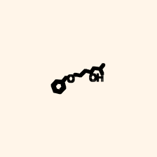 CC(C)CC(O)CCCOCc1ccccc1